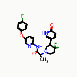 CC(C(=O)Nc1ccc(Oc2ccc(F)cc2)cn1)N1CCC(F)(F)C(c2ccc(=O)[nH]c2)C1